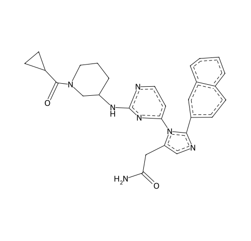 NC(=O)Cc1cnc(-c2ccc3ccccc3c2)n1-c1ccnc(NC2CCCN(C(=O)C3CC3)C2)n1